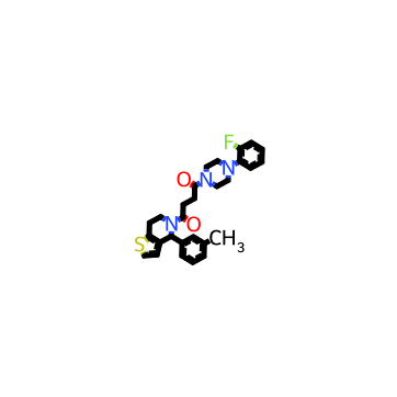 Cc1cccc(C2c3ccsc3CCN2C(=O)CCC(=O)N2CCN(c3ccccc3F)CC2)c1